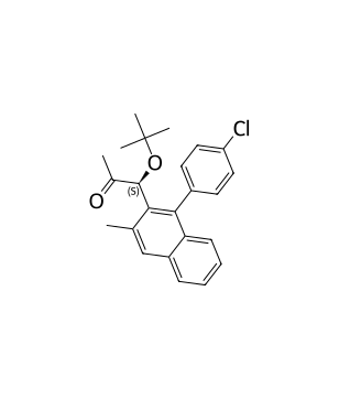 CC(=O)[C@@H](OC(C)(C)C)c1c(C)cc2ccccc2c1-c1ccc(Cl)cc1